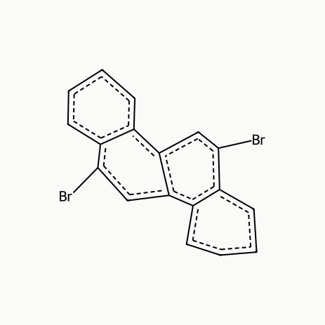 Brc1cc2c3ccccc3c(Br)cc2c2ccccc12